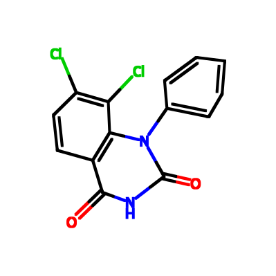 O=c1[nH]c(=O)n(-c2ccccc2)c2c(Cl)c(Cl)ccc12